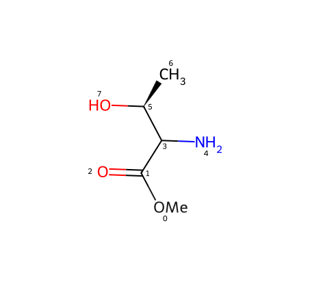 COC(=O)C(N)[C@H](C)O